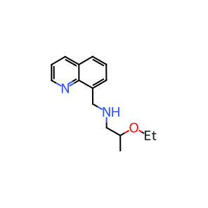 CCOC(C)CNCc1cccc2cccnc12